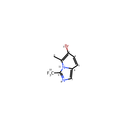 Cc1c(Br)ccc2cnc(C(F)(F)F)n12